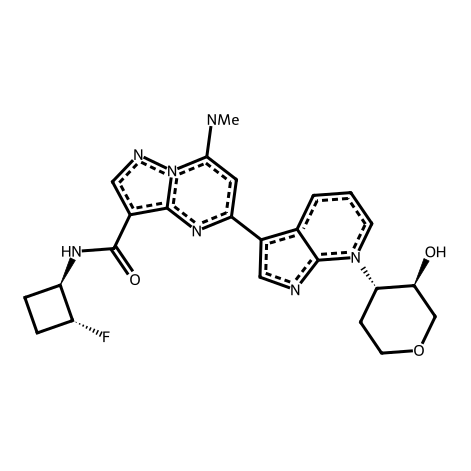 CNc1cc(-c2cnc3n([C@H]4CCOC[C@@H]4O)cccc2-3)nc2c(C(=O)N[C@@H]3CC[C@H]3F)cnn12